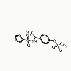 CC(NS(=O)(=O)c1cccs1)c1ccc(OS(=O)(=O)C(F)(F)F)cc1